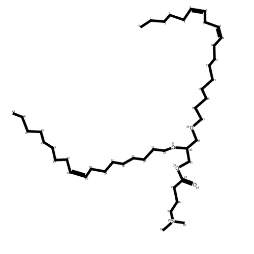 CCCCC/C=C\C/C=C\CCCCCCCCOCC(COC(=O)CCCN(C)C)OCCCCCCCC/C=C\CCCCCCCC